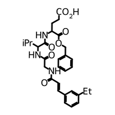 CCc1cccc(C=CC(=O)NCC(=O)NC(C(=O)NC(CCC(=O)O)C(=O)OCc2ccccc2)C(C)C)c1